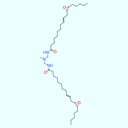 CCCCCC1OC1CC=CCCCCCCCC(=O)NCN(C)CNC(=O)CCCCCCCC=CCC1OC1CCCCC